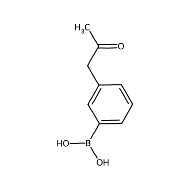 CC(=O)Cc1cccc(B(O)O)c1